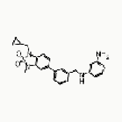 CN1c2cc(-c3cccc(CNc4ccnc(N)c4)c3)ccc2N(CC2CC2)S1(=O)=O